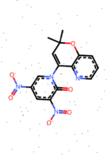 CC1(C)C=C(n2cc([N+](=O)[O-])cc([N+](=O)[O-])c2=O)c2ncccc2O1